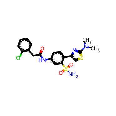 CN(C)c1nc(-c2ccc(NC(=O)Cc3ccccc3Cl)cc2S(N)(=O)=O)cs1